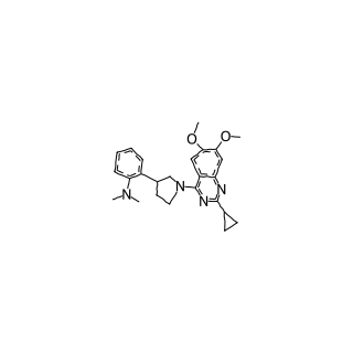 COc1cc2nc(C3CC3)nc(N3CCC(c4ccccc4N(C)C)C3)c2cc1OC